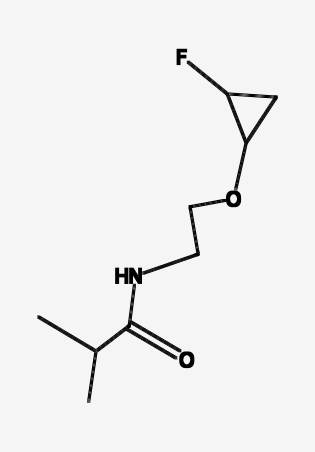 CC(C)C(=O)NCCOC1CC1F